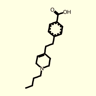 CCCCN1CC=C(CCc2ccc(C(=O)O)cc2)CC1